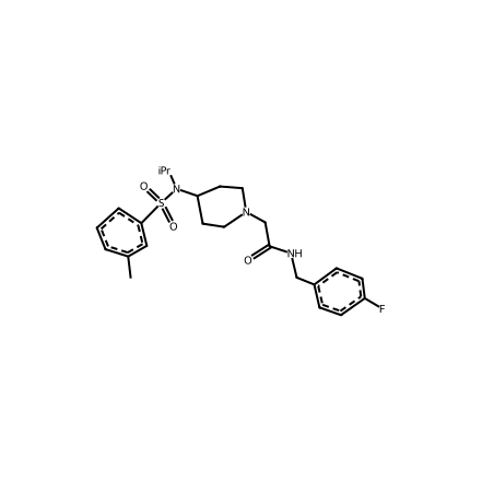 Cc1cccc(S(=O)(=O)N(C(C)C)C2CCN(CC(=O)NCc3ccc(F)cc3)CC2)c1